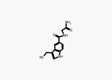 N#CCc1c[nH]c2ccc(C(=O)NCC(N)=O)cc12